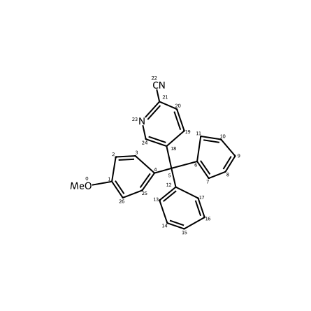 COc1ccc(C(c2ccccc2)(c2ccccc2)c2ccc(C#N)nc2)cc1